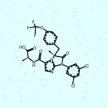 C[C@H](NC(=O)c1cnc2n1[C@](C)(Cc1ccc(OC(F)(F)F)cc1)C(=O)N2c1cc(Cl)cc(Cl)c1)C(=O)O